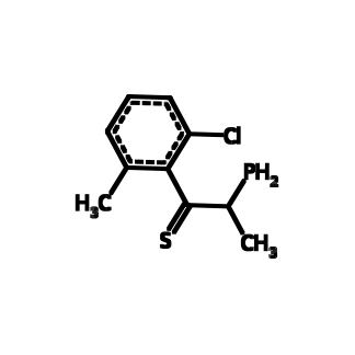 Cc1cccc(Cl)c1C(=S)C(C)P